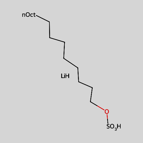 CCCCCCCCCCCCCCCCOS(=O)(=O)O.[LiH]